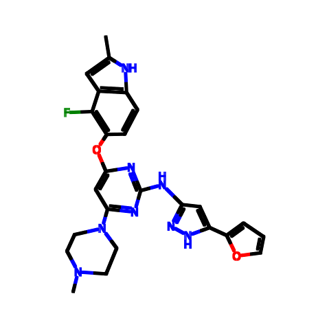 Cc1cc2c(F)c(Oc3cc(N4CCN(C)CC4)nc(Nc4cc(-c5ccco5)[nH]n4)n3)ccc2[nH]1